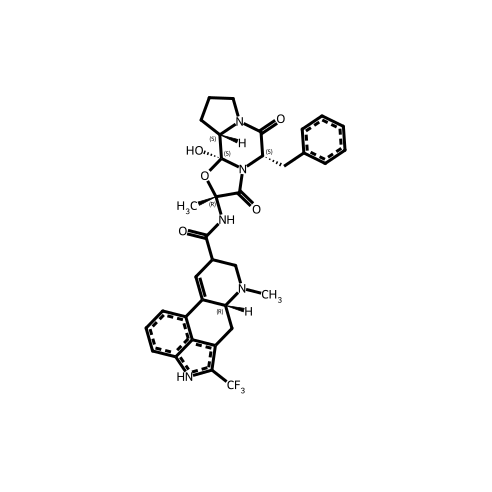 CN1CC(C(=O)N[C@]2(C)O[C@@]3(O)[C@@H]4CCCN4C(=O)[C@H](Cc4ccccc4)N3C2=O)C=C2c3cccc4[nH]c(C(F)(F)F)c(c34)C[C@H]21